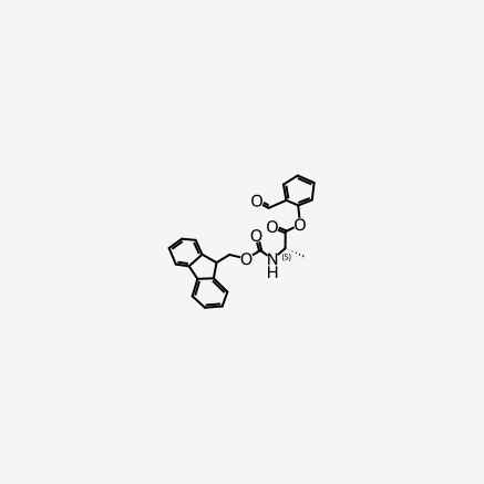 C[C@H](NC(=O)OCC1c2ccccc2-c2ccccc21)C(=O)Oc1ccccc1C=O